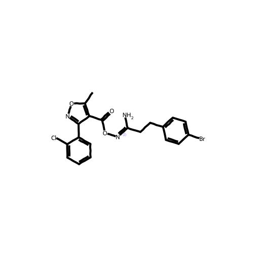 Cc1onc(-c2ccccc2Cl)c1C(=O)O/N=C(\N)CCc1ccc(Br)cc1